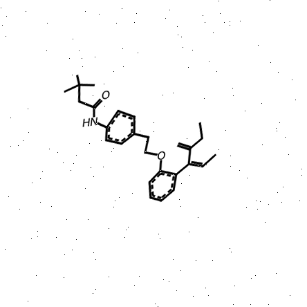 C=C(CC)/C(=C\C)c1ccccc1OCCc1ccc(NC(=O)CC(C)(C)C)cc1